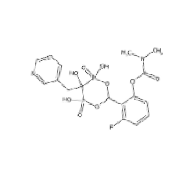 CN(C)C(=O)Oc1cccc(F)c1C1OP(=O)(O)C(O)(Cc2cccnc2)P(=O)(O)O1